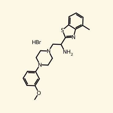 Br.COc1cccc(N2CCN(CC(N)c3nc4c(C)cccc4s3)CC2)c1